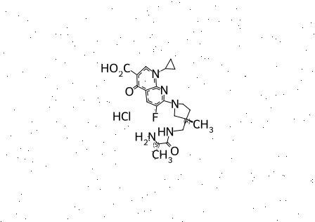 C[C@H](N)C(=O)NC[C@@]1(C)CCN(c2nc3c(cc2F)c(=O)c(C(=O)O)cn3C2CC2)C1.Cl